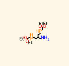 CCOC(CPCCC(CN)CCPCC(OCC)OCC)OCC